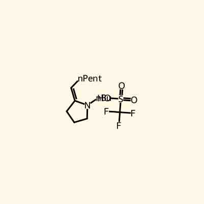 CCCCCC=C1CCCN1CCCC.O=S(=O)(O)C(F)(F)F